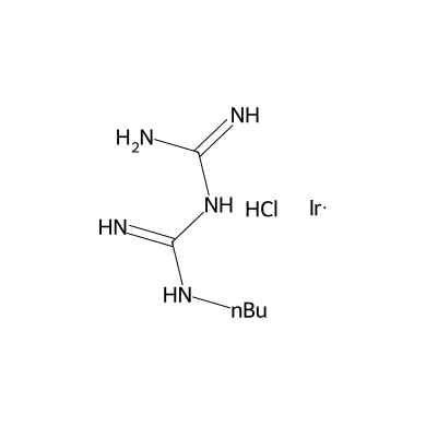 CCCCNC(=N)NC(=N)N.Cl.[Ir]